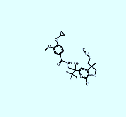 COc1cc(C(=O)NCC(O)(c2cc3c(c(Cl)n2)OCC3(C)CN=[N+]=[N-])C(F)(F)F)ccc1OC1CC1